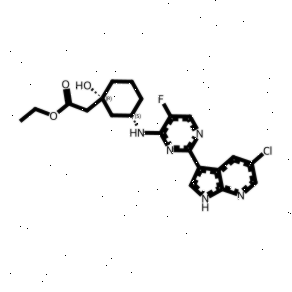 CCOC(=O)C[C@@]1(O)CCC[C@H](Nc2nc(-c3c[nH]c4ncc(Cl)cc34)ncc2F)C1